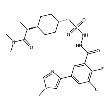 CN(C)C(=O)N(C)[C@H]1CC[C@H](CS(=O)(=O)NNC(=O)c2cc(-c3cn(C)cn3)cc(Cl)c2F)CC1